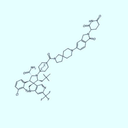 CC(C)(C)C[C@@H]1N(C23CCC(C(=O)N4CCC5(CCN(c6ccc7c(c6)CN(C6CCC(=O)NC6=O)C7=O)CC5)C4)(CC2)CC3)[C@@H](C(N)=O)[C@H](c2cccc(Cl)c2F)[C@]12CNc1cc(C(F)(F)F)ncc12